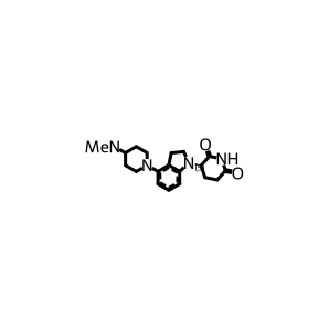 CNC1CCN(c2cccc3c2CCN3[C@H]2CCC(=O)NC2=O)CC1